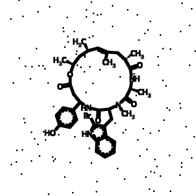 C/C1=C\[C@H](C)C[C@H](C)OC(=O)CC(c2ccc(O)cc2)NC(=O)C(Cc2c(Br)[nH]c3ccccc23)N(C)C(=O)[C@H](C)NC(=O)[C@@H](C)C1